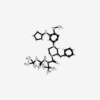 COc1ccc(N2CCN(C(=O)[C@H](NC(=O)OC(C)(C)C)C(C)(C)O)C(Cc3ccccc3)C2)cc1OC1CCCC1